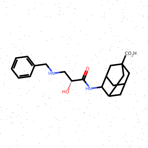 O=C(NC1C2CC3CC1CC(C(=O)O)(C3)C2)[C@H](O)CNCc1ccccc1